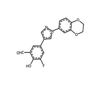 O=Cc1cc(-c2cnn(-c3ccc4c(c3)OCCO4)c2)cc(F)c1O